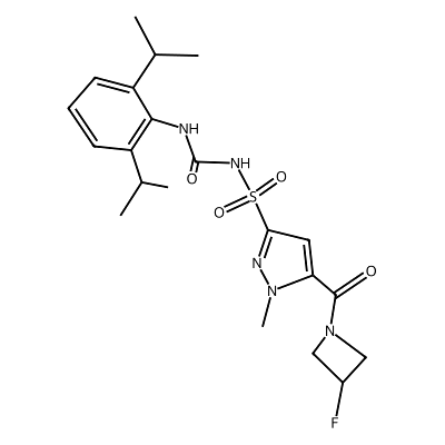 CC(C)c1cccc(C(C)C)c1NC(=O)NS(=O)(=O)c1cc(C(=O)N2CC(F)C2)n(C)n1